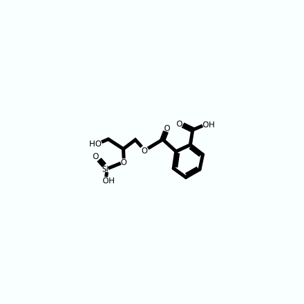 O=C(O)c1ccccc1C(=O)OCC(CO)O[Si](=O)O